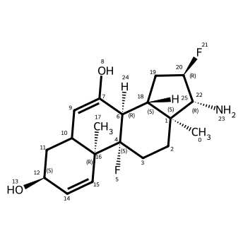 C[C@]12CC[C@]3(F)[C@@H](C(O)=CC4C[C@H](O)C=C[C@@]43C)[C@@H]1C[C@@H](F)[C@@H]2N